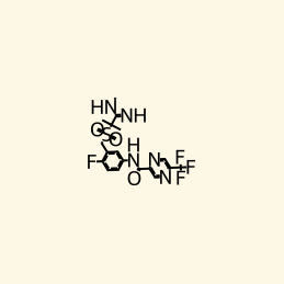 CNC(=N)C(C)(C)S(=O)(=O)Cc1cc(NC(=O)c2cnc(C(F)(F)F)cn2)ccc1F